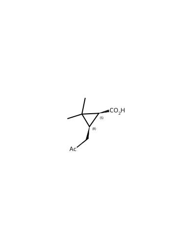 CC(=O)C[C@@H]1[C@H](C(=O)O)C1(C)C